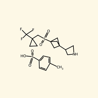 Cc1ccc(S(=O)(=O)O)cc1.O=S(=O)(CC1(C(F)(F)F)CC1)C12CC(C3CNC3)(C1)C2